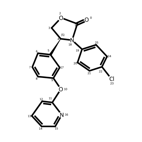 O=C1OC[C@H](c2cccc(Oc3ccccn3)c2)N1c1ccc(Cl)cc1